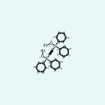 CCO[Si](C#C[Si](OCC)(c1ccccc1)c1ccccc1)(c1ccccc1)c1ccccc1